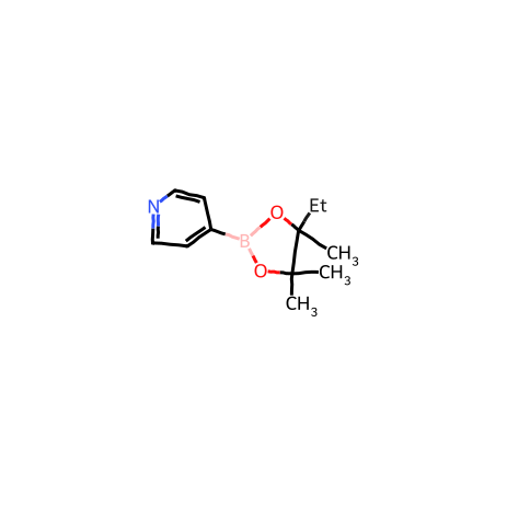 CCC1(C)OB(c2ccncc2)OC1(C)C